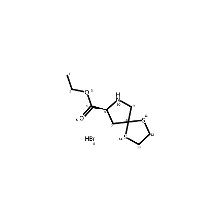 Br.CCOC(=O)[C@@H]1CC2(CN1)SCCS2